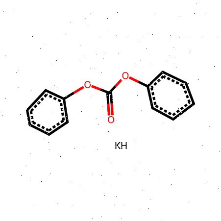 O=C(Oc1ccccc1)Oc1ccccc1.[KH]